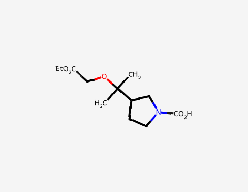 CCOC(=O)COC(C)(C)C1CCN(C(=O)O)C1